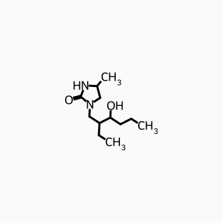 CCCC(O)C(CC)CN1CC(C)NC1=O